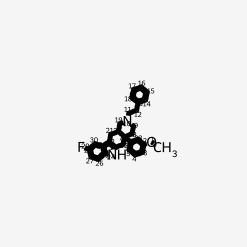 COc1cccc(C23CCN(CCc4ccccc4)CC2Cc2c([nH]c4ccc(F)cc24)C3)c1